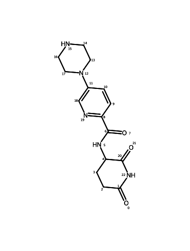 O=C1CCC(NC(=O)c2ccc(N3CCNCC3)cn2)C(=O)N1